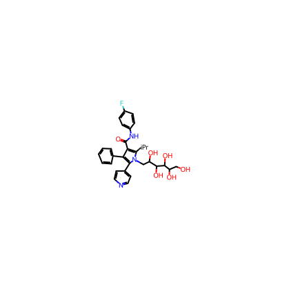 CC(C)c1c(C(=O)Nc2ccc(F)cc2)c(-c2ccccc2)c(-c2ccncc2)n1CC(O)C(O)C(O)C(O)CO